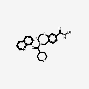 O=C(NO)c1ccc2c(c1)OC[C@@H](c1ccc3cccnc3c1)N(C(=O)C1CCOCC1)C2